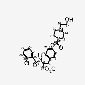 O=C(N[C@@H](Cc1ccc(OC(=O)N2CCN(CCO)CC2)cc1)C(=O)O)c1ccccc1Cl